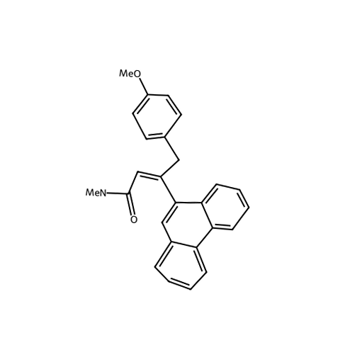 CNC(=O)C=C(Cc1ccc(OC)cc1)c1cc2ccccc2c2ccccc12